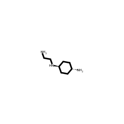 NCCN[C@H]1CC[C@H](N)CC1